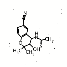 CC(=S)NC1c2cc(C#N)ccc2OC(C)(C)C1O